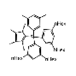 CCCCCCc1cc(CCCCCC)cc([Si](C2=C(C)C(C)=C(C)C2C)(c2cc(C)cc(C)c2)c2cc(CCCCCC)cc(CCCCCC)c2)c1